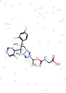 CC(OC(=O)NCC(=O)O)[n+]1cnn(C[C@](O)(c2ccc(F)cc2F)[C@@H](C)c2ncncc2F)c1